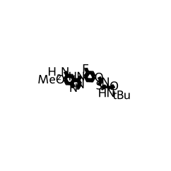 COc1cc2ncnc(Nc3ccc(Oc4nc(C(=O)NC(C)(C)C)cs4)cc3F)c2cc1N